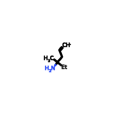 [CH]=CCC(C)(N)CC